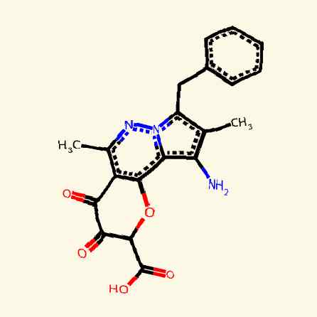 Cc1nn2c(Cc3ccccc3)c(C)c(N)c2c2c1C(=O)C(=O)C(C(=O)O)O2